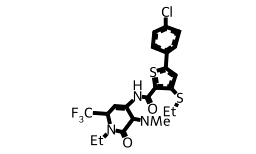 CCSc1cc(-c2ccc(Cl)cc2)sc1C(=O)NC1=CC(C(F)(F)F)N(CC)C(=O)C1NC